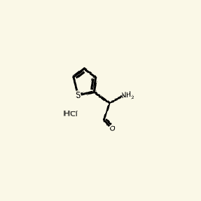 Cl.NC(C=O)c1cccs1